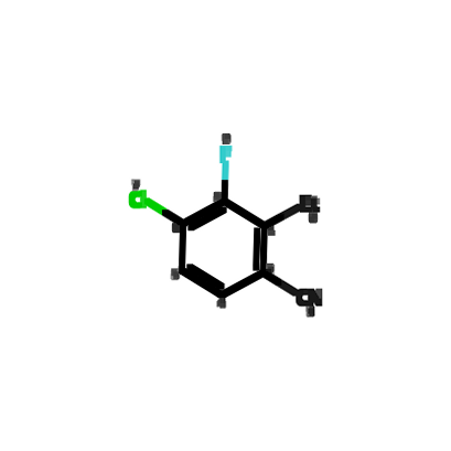 CCc1c(C#N)ccc(Cl)c1F